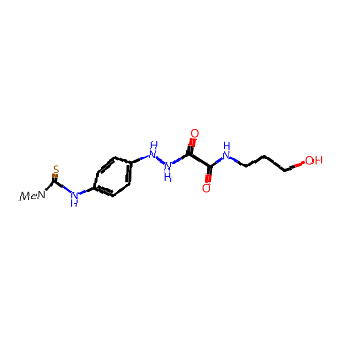 CNC(=S)Nc1ccc(NNC(=O)C(=O)NCCCO)cc1